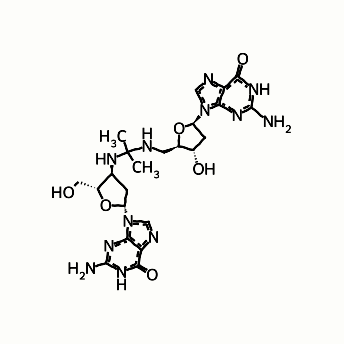 CC(C)(NC[C@H]1O[C@@H](n2cnc3c(=O)[nH]c(N)nc32)C[C@@H]1O)N[C@H]1C[C@H](n2cnc3c(=O)[nH]c(N)nc32)O[C@@H]1CO